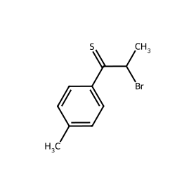 Cc1ccc(C(=S)C(C)Br)cc1